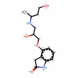 CC(CCO)NCC(O)COc1cccc2c1CC(=O)N2